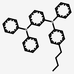 CCCCc1ccc(N(c2ccccc2)c2cccc(N(c3ccccc3)c3ccccc3)c2)cc1